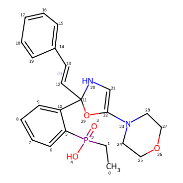 CCP(=O)(O)c1ccccc1C1(/C=C/c2ccccc2)NC=C(N2CCOCC2)O1